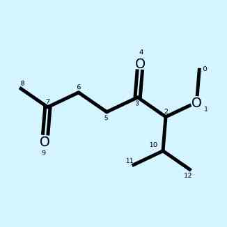 COC(C(=O)CCC(C)=O)C(C)C